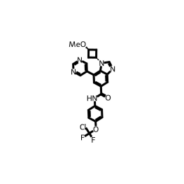 CO[C@H]1C[C@H](n2cnc3cc(C(=O)Nc4ccc(OC(F)(F)Cl)cc4)cc(-c4cncnc4)c32)C1